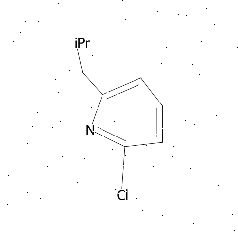 CC(C)Cc1cccc(Cl)n1